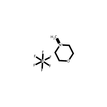 C=[N+]1CCOCC1.F[P-](F)(F)(F)(F)F